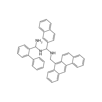 NC(NC(NCc1c2ccccc2cc2c1ccc1ccccc12)c1ccc2ccccc2c1)c1ccccc1-c1ccccc1